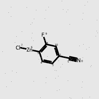 N#Cc1cc[c]([Zn][Cl])c(F)c1